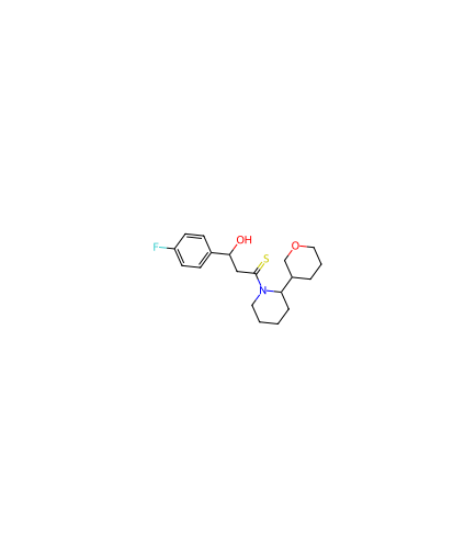 OC(CC(=S)N1CCCCC1C1CCCOC1)c1ccc(F)cc1